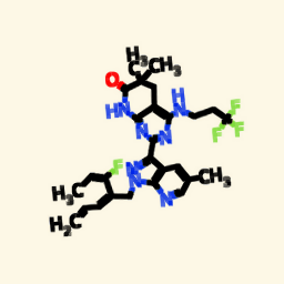 C=C/C=C(Cn1nc(-c2nc(NCCC(F)(F)F)c3c(n2)NC(=O)C(C)(C)C3)c2cc(C)cnc21)\C(F)=C/C